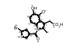 Cc1c(CC(=O)O)c2c(Cl)c(O)ccc2n1C(=O)c1csc(Br)c1